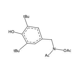 CC(=O)ON(Cc1cc(C(C)(C)C)c(O)c(C(C)(C)C)c1)C(C)=O